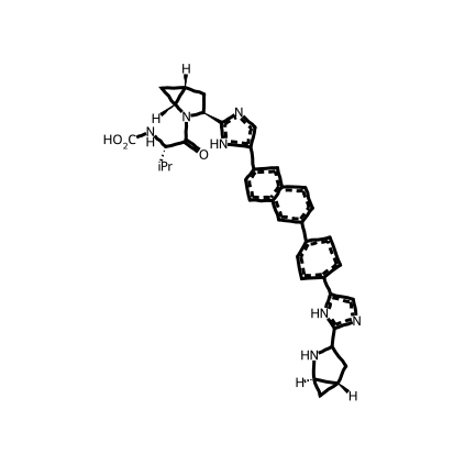 CC(C)[C@H](NC(=O)O)C(=O)N1[C@@H]2C[C@@H]2C[C@H]1c1ncc(-c2ccc3cc(-c4ccc(-c5cnc(C6C[C@@H]7C[C@H]7N6)[nH]5)cc4)ccc3c2)[nH]1